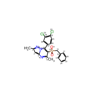 Cc1cc2nc(C)c(S(=O)(=O)Cc3ccccc3)c(-c3ccc(Cl)c(Cl)c3)n2n1